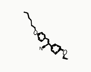 CCCCCCOc1ccc(C=C(C#N)c2ccc(OCC)cc2)cc1